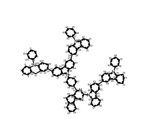 c1ccc(N2c3ccccc3Cc3cc(-c4ccc5c(c4)c4cc(-c6ccc7c(c6)c6ccccc6n7-c6ccccc6)ccc4n5-c4ccc(-c5nc(-n6c7ccccc7c7cc(-c8ccc9c(c8)c8ccccc8n9-c8ccccc8)ccc76)nc6c5ccc5ccccc56)cc4)ccc32)cc1